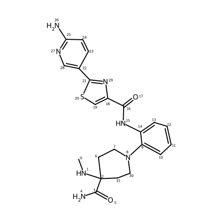 CNC1(C(N)=O)CCN(c2ccccc2NC(=O)c2csc(-c3ccc(N)nc3)n2)CC1